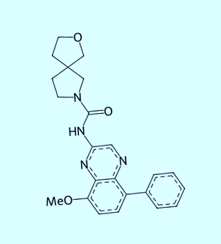 COc1ccc(-c2ccccc2)c2ncc(NC(=O)N3CCC4(CCOC4)C3)nc12